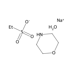 C1COCCN1.CCS(=O)(=O)[O-].O.[Na+]